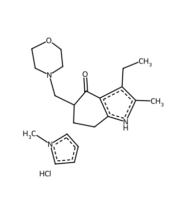 CCc1c(C)[nH]c2c1C(=O)C(CN1CCOCC1)CC2.Cl.Cn1cccc1